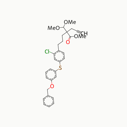 C#CCC(CCCc1ccc(Sc2cccc(OCc3ccccc3)c2)cc1Cl)(C(=O)OC)C(OC)OC